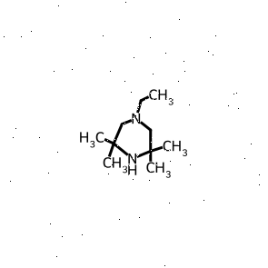 CCN1CC(C)(C)NC(C)(C)C1